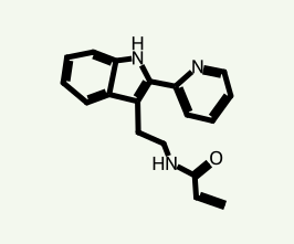 C=CC(=O)NCCc1c(-c2ccccn2)[nH]c2ccccc12